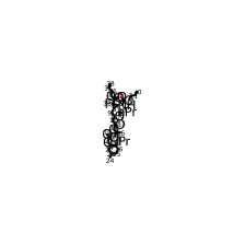 C=CCOC(=O)NC1C(CC(CC(=O)OC(C)OC(=O)OC2CC(C)CCC2C(C)C)OCCC)C1(F)C(=O)OCC=C